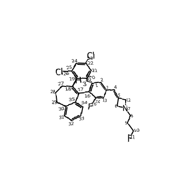 Cc1cc(C=C2CN(CCCF)C2)cc(F)c1C1=C(c2ccc(Cl)cc2Cl)CCCc2ccccc21